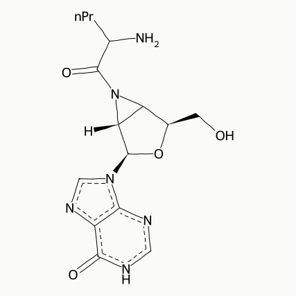 CCCC(N)C(=O)N1C2[C@@H]1[C@H](n1cnc3c(=O)[nH]cnc31)O[C@@H]2CO